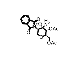 CC(=O)OC[C@H]1OC[C@@H](N2C(=O)c3ccccc3C2=O)[C@](N)(OC(C)=O)[C@@H]1OC(C)=O